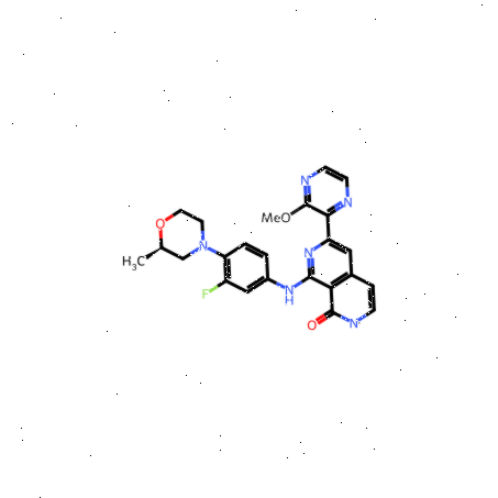 COc1nccnc1-c1cc2c(c(Nc3ccc(N4CCO[C@H](C)C4)c(F)c3)n1)C(=O)[N]C=C2